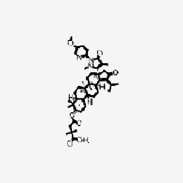 COc1ccc(-n2c(=O)c(C)c([C@@]34CC[C@]5(C)[C@H](CC[C@@H]6[C@@]7(C)CC[C@H](OC(=O)CC(C)(C)C(=O)O)C(C)(C)[C@@H]7CC[C@]65C)C3=C(C(C)C)C(=O)C4)n2C)nc1